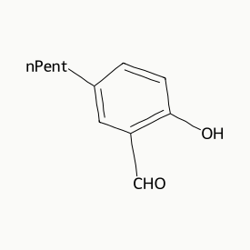 CCCCCc1ccc(O)c(C=O)c1